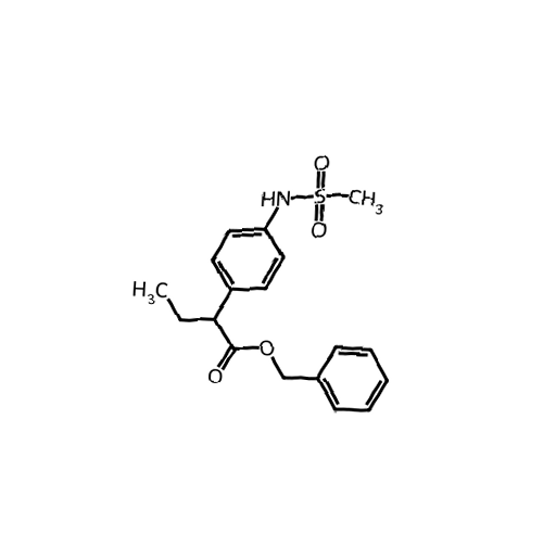 CCC(C(=O)OCc1ccccc1)c1ccc(NS(C)(=O)=O)cc1